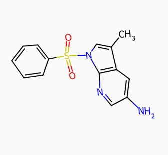 Cc1cn(S(=O)(=O)c2ccccc2)c2ncc(N)cc12